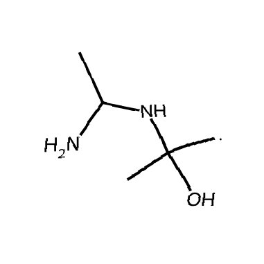 [CH2]C(C)(O)NC(C)N